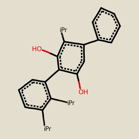 CC(C)c1cccc(-c2c(O)cc(-c3ccccc3)c(C(C)C)c2O)c1C(C)C